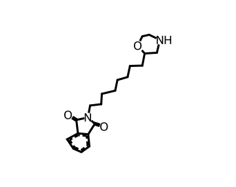 O=C1c2ccccc2C(=O)N1CCCCCCCCC1CNCCO1